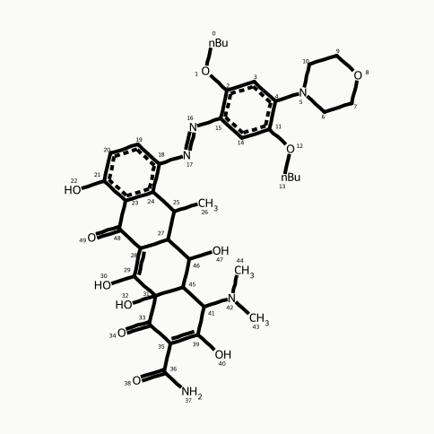 CCCCOc1cc(N2CCOCC2)c(OCCCC)cc1N=Nc1ccc(O)c2c1C(C)C1C(=C(O)C3(O)C(=O)C(C(N)=O)=C(O)C(N(C)C)C3C1O)C2=O